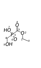 CCOC(=O)P(=O)(O)CO